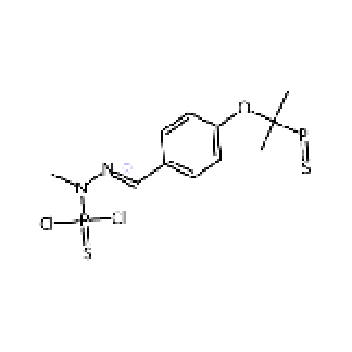 CN(/N=C/c1ccc(OC(C)(C)P=S)cc1)P(=S)(Cl)Cl